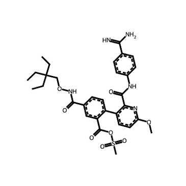 CCC(CC)(CC)CONC(=O)c1ccc(-c2ccc(OC)nc2C(=O)Nc2ccc(C(=N)N)cc2)c(C(=O)OS(C)(=O)=O)c1